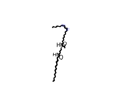 CCCCC/C=C\C/C=C\CCCCCCCC(=O)N[C@@H](CCCCNC(=O)CCCCCCCCCCCCC)C(C)C